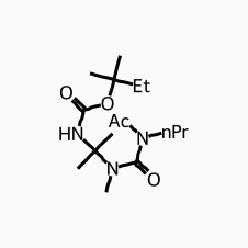 CCCN(C(C)=O)C(=O)N(C)C(C)(C)NC(=O)OC(C)(C)CC